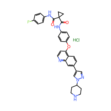 Cl.O=C(Nc1ccc(F)cc1)C1(C(=O)Nc2ccc(Oc3ccnc4cc(-c5cnn(C6CCNCC6)c5)ccc34)cc2)CC1